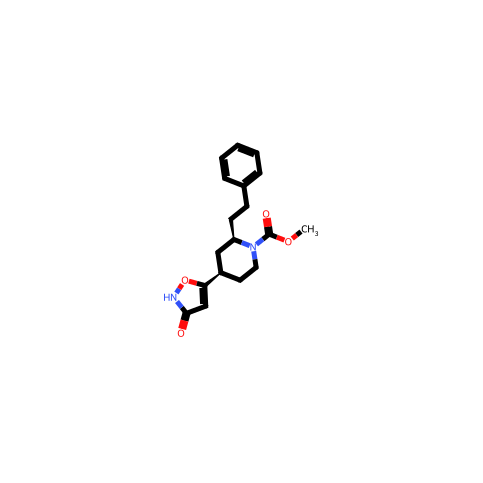 COC(=O)N1CC[C@@H](c2cc(=O)[nH]o2)C[C@H]1CCc1ccccc1